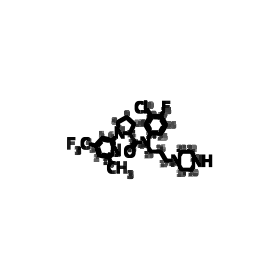 Cc1cc(C(F)(F)F)cc(N2CCC[C@H]2C(=O)N(CCCN2CCNCC2)c2ccc(F)c(Cl)c2)n1